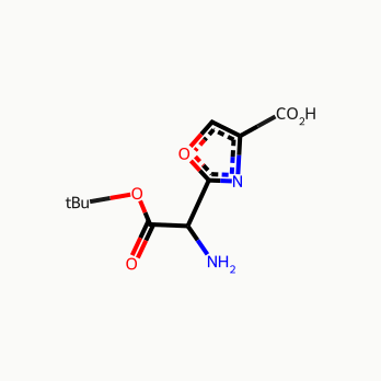 CC(C)(C)OC(=O)C(N)c1nc(C(=O)O)co1